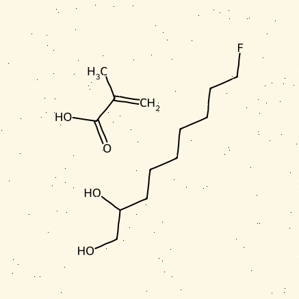 C=C(C)C(=O)O.OCC(O)CCCCCCCF